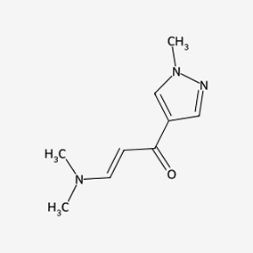 CN(C)C=CC(=O)c1cnn(C)c1